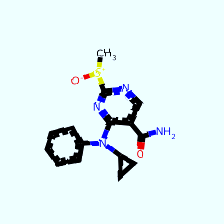 C[S+]([O-])c1ncc(C(N)=O)c(N(c2ccccc2)C2CC2)n1